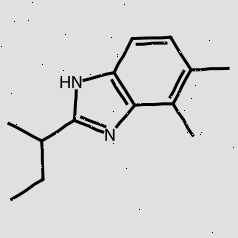 CCC(C)c1nc2c(C)c(C)ccc2[nH]1